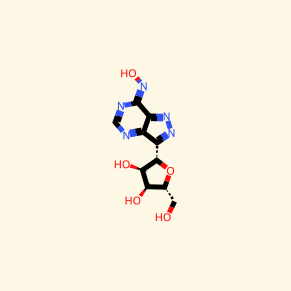 OC[C@H]1O[C@@H](C2=NN=C3C(=NO)N=CN=C32)[C@H](O)[C@@H]1O